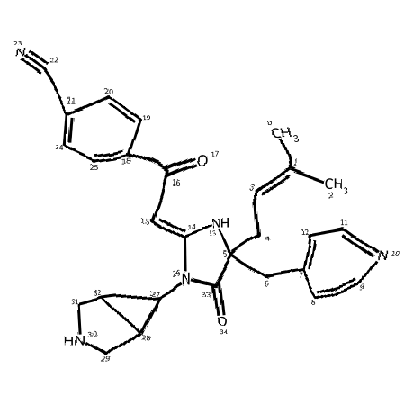 CC(C)=CCC1(Cc2ccncc2)NC(=CC(=O)c2ccc(C#N)cc2)N(C2C3CNCC32)C1=O